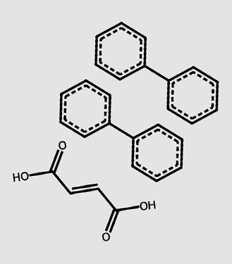 O=C(O)C=CC(=O)O.c1ccc(-c2ccccc2)cc1.c1ccc(-c2ccccc2)cc1